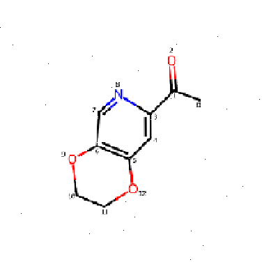 CC(=O)c1cc2c(cn1)OCCO2